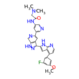 COc1cc(F)cc(-c2ccnc3[nH]c(-c4n[nH]c5cnc(-c6cncc(NC(=O)CN(C)C)c6)cc45)cc23)c1